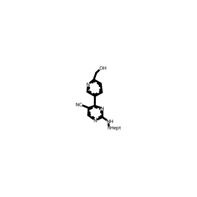 CCCCCCCNc1ncc(C#N)c(-c2ccc(CO)nc2)n1